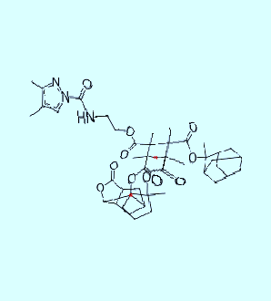 Cc1cn(C(=O)NCCOC(=O)C(C)(C(C)(C)C(=O)OC2C3CC4C(=O)OC2C4C3)C(C)(C(=O)OC2(C)C3CC4CC(C3)CC2C4)C(C)(C)C(=O)OC2(C)CCCC2)nc1C